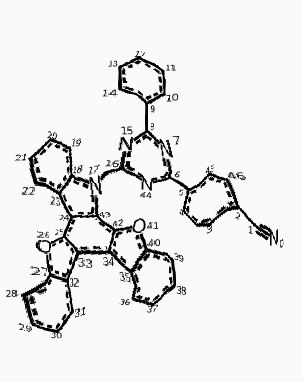 N#Cc1ccc(-c2nc(-c3ccccc3)nc(-n3c4ccccc4c4c5oc6ccccc6c5c5c6ccccc6oc5c43)n2)cc1